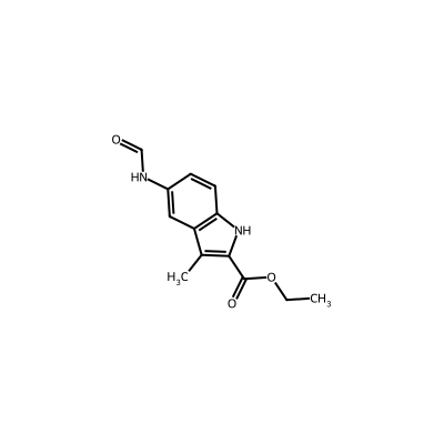 CCOC(=O)c1[nH]c2ccc(NC=O)cc2c1C